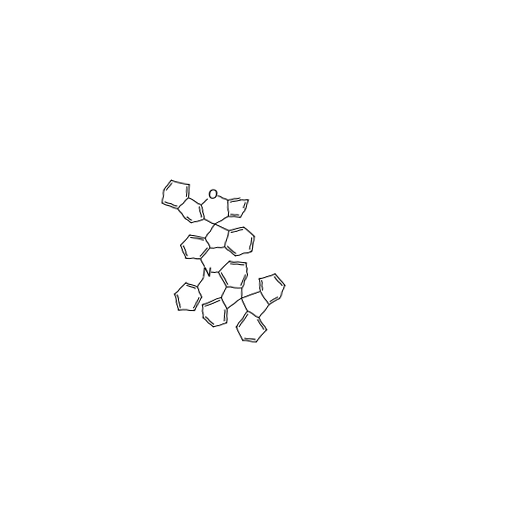 c1ccc(N(c2cccc3c2-c2ccccc2C32c3ccccc3-c3ccccc32)c2cccc3c2-c2ccccc2C32c3ccccc3Oc3c2ccc2ccccc32)cc1